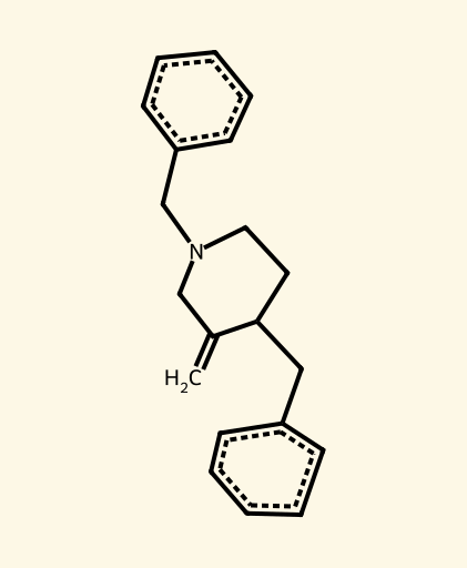 C=C1CN(Cc2ccccc2)CCC1Cc1ccccc1